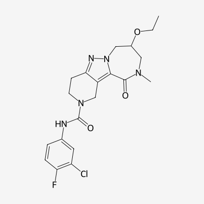 CCOC1CN(C)C(=O)c2c3c(nn2C1)CCN(C(=O)Nc1ccc(F)c(Cl)c1)C3